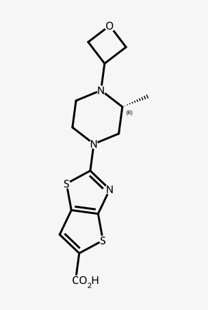 C[C@@H]1CN(c2nc3sc(C(=O)O)cc3s2)CCN1C1COC1